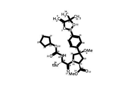 C=C1OB(c2ccc([C@]3(OC)C[C@@H](C(=O)OC)N(C(=O)[C@@H](NC(=O)OC4CCCC4)C(C)(C)C)C3)cc2)OC1(C)C